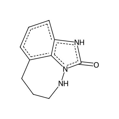 O=c1[nH]c2cccc3c2n1NCCC3